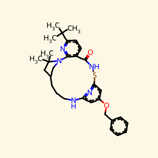 CC(C)(C)c1ccc2c(n1)N1CC(CCCNc3cc(OCc4ccccc4)cc(n3)SNC2=O)CC1(C)C